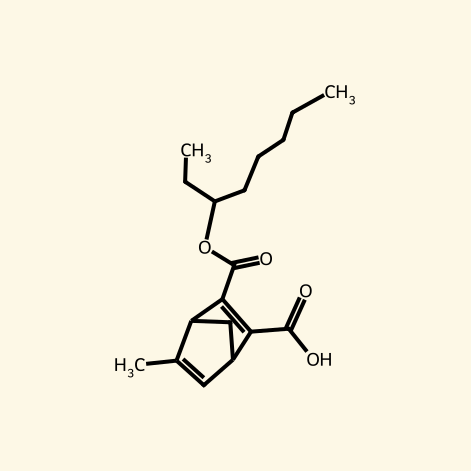 CCCCCC(CC)OC(=O)C1=C(C(=O)O)C2C=C(C)C1C2